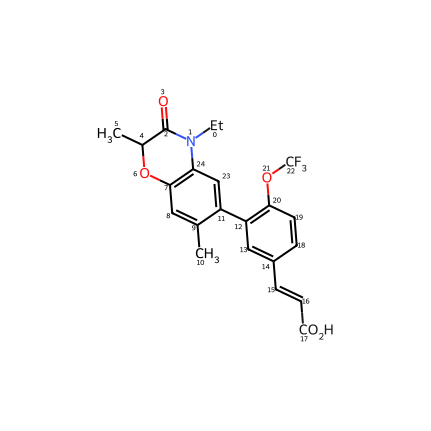 CCN1C(=O)C(C)Oc2cc(C)c(-c3cc(/C=C/C(=O)O)ccc3OC(F)(F)F)cc21